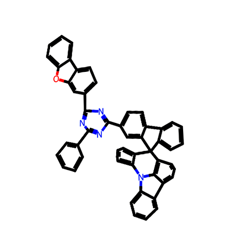 c1ccc(-c2nc(-c3ccc4c(c3)C3(c5ccccc5-4)c4ccccc4-n4c5ccccc5c5cccc3c54)nc(-c3ccc4c(c3)oc3ccccc34)n2)cc1